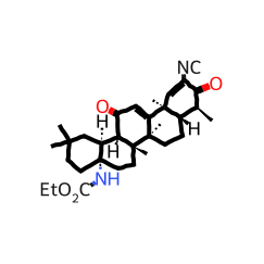 [C-]#[N+]C1=C[C@]2(C)C3=CC(=O)[C@@H]4[C@@H]5CC(C)(C)CC[C@]5(NC(=O)OCC)CC[C@@]4(C)[C@]3(C)CC[C@H]2[C@H](C)C1=O